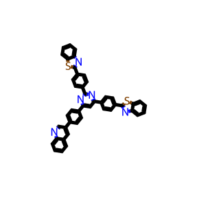 c1ccc2ncc(-c3ccc(-c4cc(-c5ccc(-c6nc7ccccc7s6)cc5)nc(-c5ccc(-c6nc7ccccc7s6)cc5)n4)cc3)cc2c1